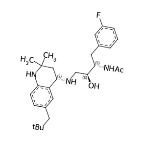 CC(=O)N[C@@H](Cc1cccc(F)c1)[C@@H](O)CN[C@H]1CC(C)(C)Nc2ccc(CC(C)(C)C)cc21